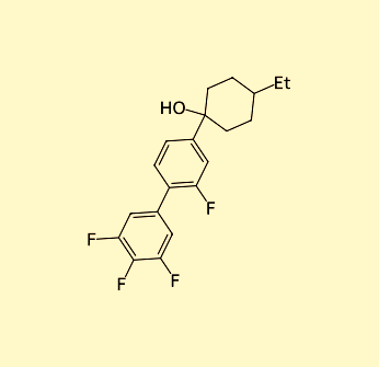 CCC1CCC(O)(c2ccc(-c3cc(F)c(F)c(F)c3)c(F)c2)CC1